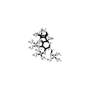 C=C/C(=C\C)[C@]1(O)O[C@H](CO[Si](C)(C)C)C(O[Si](C)(C)C)C(O[Si](C)(C)C)C1O[Si](C)(C)C